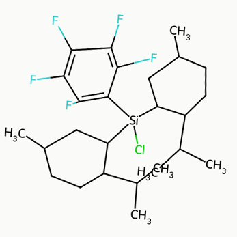 CC1CCC(C(C)C)C([Si](Cl)(c2c(F)c(F)c(F)c(F)c2F)C2CC(C)CCC2C(C)C)C1